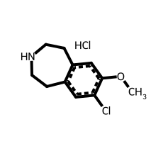 COc1cc2c(cc1Cl)CCNCC2.Cl